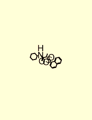 CC(C(=O)NC1CCCCC1)S(=O)(=O)c1cccc2ccccc12